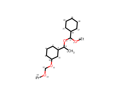 CCOC(OC(C)C1CCCC(OCOC(C)C)C1)C1CCCCC1